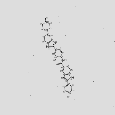 C=C(Nc1ccc(-c2nc3cc(N4CCN(C)CC4)ccc3[nH]2)cc1C)C1=Cc2nc(-c3ccc(C)cc3)[nH]c2CC1